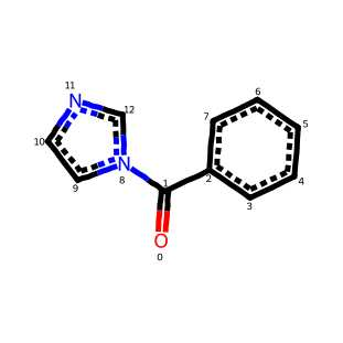 O=C(c1ccccc1)n1ccnc1